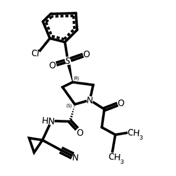 CC(C)CC(=O)N1C[C@H](S(=O)(=O)c2ccccc2Cl)C[C@H]1C(=O)NC1(C#N)CC1